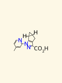 Cc1ccnc(-n2nc(C(=O)O)c3c2[C@@H]2C[C@@H]2C3)c1